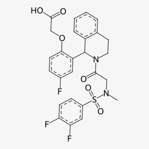 CN(CC(=O)N1CCc2ccccc2C1c1cc(F)ccc1OCC(=O)O)S(=O)(=O)c1ccc(F)c(F)c1